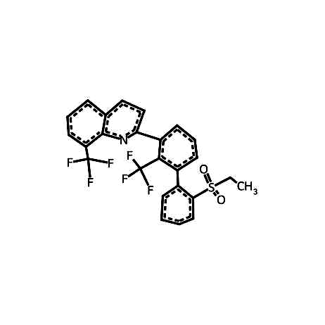 CCS(=O)(=O)c1ccccc1-c1cccc(-c2ccc3cccc(C(F)(F)F)c3n2)c1C(F)(F)F